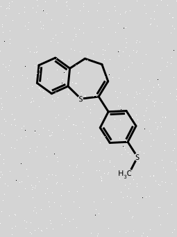 CSc1ccc(C2=CCCc3ccccc3S2)cc1